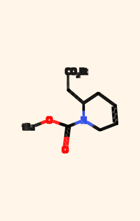 CCOC(=O)CC1CC=CCN1C(=O)OC(C)(C)C